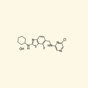 O[C@@H]1CCCCC1Nc1nc2ccc(CNc3cncc(Cl)n3)c(F)c2s1